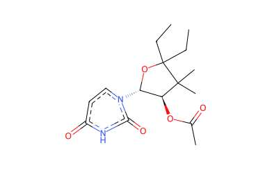 CCC1(CC)O[C@@H](n2ccc(=O)[nH]c2=O)[C@H](OC(C)=O)C1(C)C